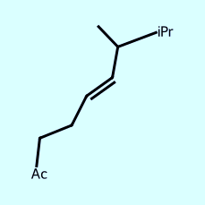 CC(=O)CC/C=C/C(C)C(C)C